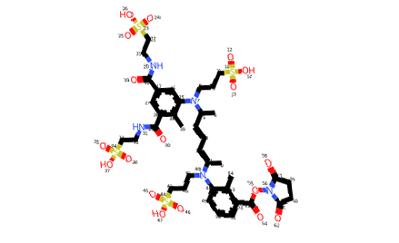 C/C(=C\C=C\C(C)N(CCCS(=O)(=O)O)c1cc(C(=O)NCCS(=O)(=O)O)cc(C(=O)NCCS(=O)(=O)O)c1C)N(CCCS(=O)(=O)O)c1cccc(C(=O)ON2C(=O)CCC2=O)c1C